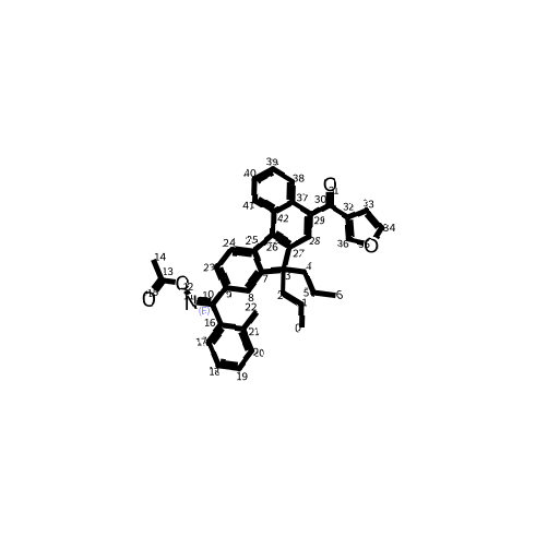 CCCC1(CCC)c2cc(/C(=N\OC(C)=O)c3ccccc3C)ccc2-c2c1cc(C(=O)c1ccoc1)c1ccccc21